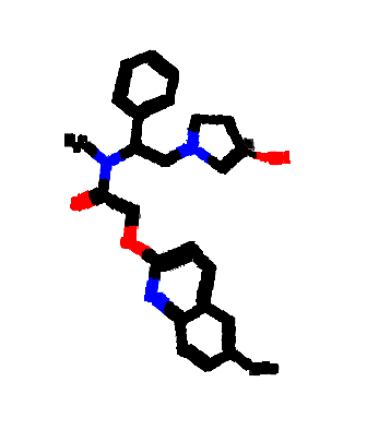 CNc1ccc2nc(OCC(=O)N(C)C(CN3CC[C@H](O)C3)c3ccccc3)ccc2c1